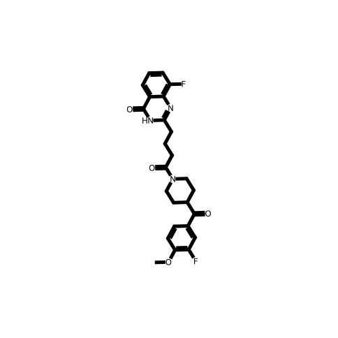 COc1ccc(C(=O)C2CCN(C(=O)CCCc3nc4c(F)cccc4c(=O)[nH]3)CC2)cc1F